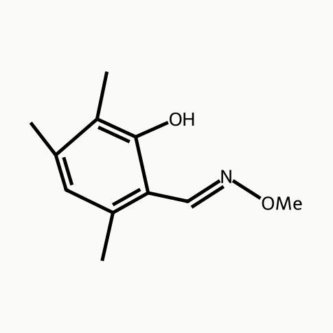 CO/N=C/c1c(C)cc(C)c(C)c1O